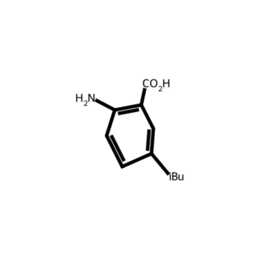 CCC(C)c1ccc(N)c(C(=O)O)c1